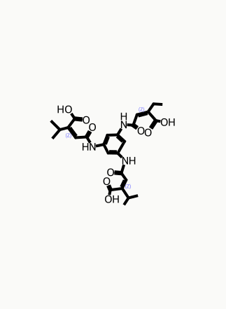 CC/C(=C/C(=O)Nc1cc(NC(=O)/C=C(\C(=O)O)C(C)C)cc(NC(=O)/C=C(\C(=O)O)C(C)C)c1)C(=O)O